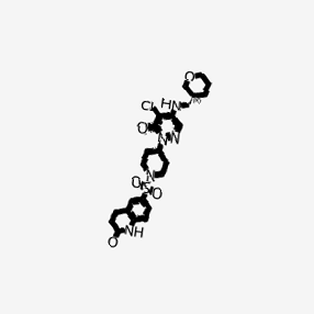 O=C1CCc2cc(S(=O)(=O)N3CCC(n4ncc(NC[C@H]5CCCOC5)c(Cl)c4=O)CC3)ccc2N1